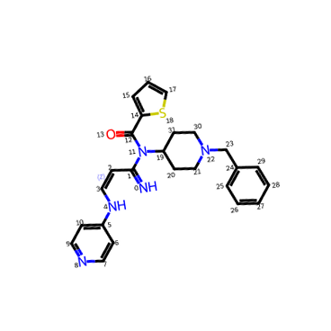 N=C(/C=C\Nc1ccncc1)N(C(=O)c1cccs1)C1CCN(Cc2ccccc2)CC1